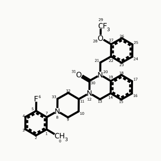 Cc1cccc(F)c1N1CCC(N2Cc3ccccc3N(Cc3ccccc3OC(F)(F)F)C2=O)CC1